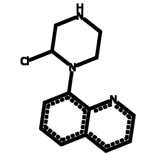 ClC1CNCCN1c1cccc2cccnc12